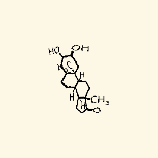 C[C@]12CC(O)C(O)CC1CC[C@@H]1[C@H]2CC[C@]2(C)C(=O)CC[C@@H]12